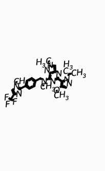 COc1cnn(C(C)C)c1-c1nc(N(C)Cc2ccc(-c3nc(C(F)(F)F)cn3C)cc2)c2nn(C)cc2n1